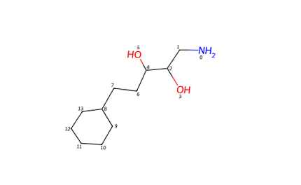 NCC(O)C(O)CCC1CCCCC1